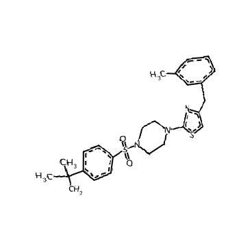 Cc1cccc(Cc2csc(N3CCN(S(=O)(=O)c4ccc(C(C)(C)C)cc4)CC3)n2)c1